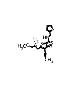 CC#Cc1c(C[C@@H](N)COC)sc2c(NCc3cccs3)snc12